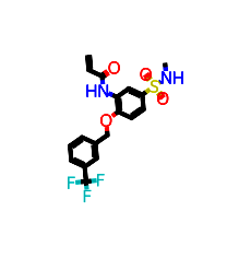 C=CC(=O)Nc1cc(S(=O)(=O)NC)ccc1OCc1cccc(C(F)(F)F)c1